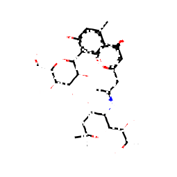 CC[C@H](O)[C@H](O)[C@@H]1O[C@](C)(C(=O)O)C[C@H](O)[C@H]1/N=C(\C)Cc1cc(=O)c2c(C)cc(O)c(C3O[C@@H](CO)[C@H](O)[C@@H](O)[C@@H]3O)c2o1